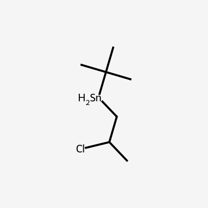 CC(Cl)[CH2][SnH2][C](C)(C)C